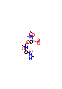 Cc1oc(-c2cccc(C(=O)NCC(C)C)c2)nc1CCOc1ccc(CCC(=O)O)c(CNC(=O)OC(C)C)c1